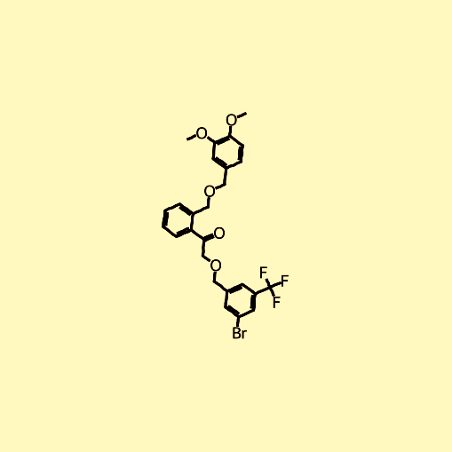 COc1ccc(COCc2ccccc2C(=O)COCc2cc(Br)cc(C(F)(F)F)c2)cc1OC